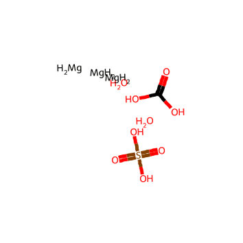 O.O.O=C(O)O.O=S(=O)(O)O.[MgH2].[MgH2].[MgH2]